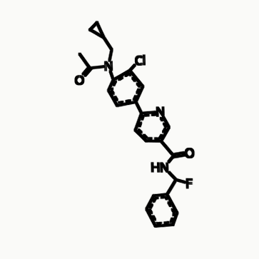 CC(=O)N(CC1CC1)c1ccc(-c2ccc(C(=O)NC(F)c3ccccc3)cn2)cc1Cl